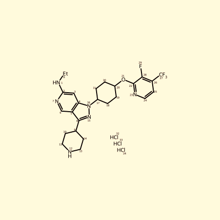 CCNc1cc2c(cn1)c(C1CCNCC1)nn2C1CCC(Oc2nccc(C(F)(F)F)c2F)CC1.Cl.Cl.Cl